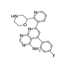 Nc1ncnc2nc(-c3cccnc3C3CNCCO3)cc(-c3ccc(F)cc3)c12